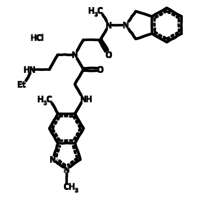 CCNCCN(CC(=O)N(C)N1Cc2ccccc2C1)C(=O)CNc1cc2cn(C)nc2cc1C.Cl